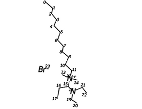 CCCCCCCCCCCC[N+](C)(C)C(CC)N(CC)CC.[Br-]